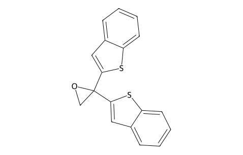 c1ccc2sc(C3(c4cc5ccccc5s4)CO3)cc2c1